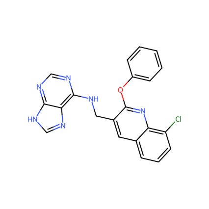 Clc1cccc2cc(CNc3ncnc4[nH]cnc34)c(Oc3ccccc3)nc12